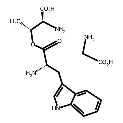 C[C@@H](OC(=O)[C@@H](N)Cc1c[nH]c2ccccc12)[C@H](N)C(=O)O.NCC(=O)O